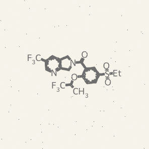 CCS(=O)(=O)c1ccc(OC(C)C(F)(F)F)c(C(=O)N2Cc3cc(C(F)(F)F)cnc3C2)c1